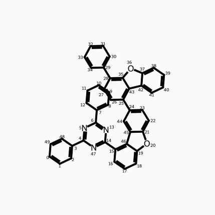 c1ccc(-c2nc(-c3ccccc3)nc(-c3cccc4oc5ccc(-c6ccc(-c7ccccc7)c7oc8ccccc8c67)cc5c34)n2)cc1